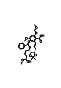 COCOc1cc(OC)cc(/C=C/C[C@@H]2OC(C)(C)O[C@@H]2C(/C=C\CC(O)OF)OC(=O)c2ccccc2)c1C(=O)O